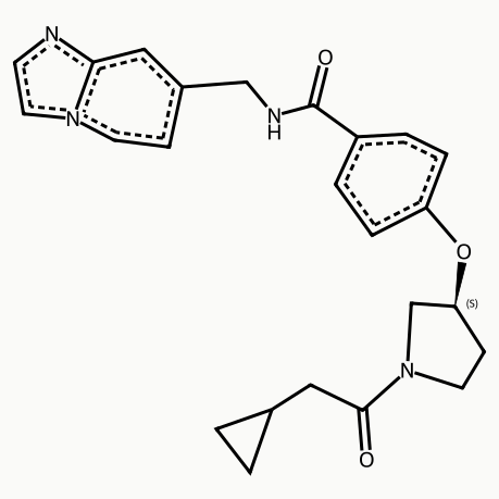 O=C(NCc1ccn2ccnc2c1)c1ccc(O[C@H]2CCN(C(=O)CC3CC3)C2)cc1